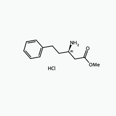 COC(=O)C[C@H](N)CCc1ccccc1.Cl